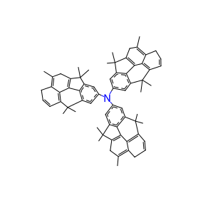 CC1=C2CC=CC3=C2C2=C(C1)C(C)(C)c1cc(N(c4cc5c6c(c4)C(C)(C)C4=C6C6=C(C=CCC6=C(C)C4)C5(C)C)c4cc5c6c(c4)C(C)(C)C4=C6C6=C(C=CCC6=C(C)C4)C5(C)C)cc(c12)C3(C)C